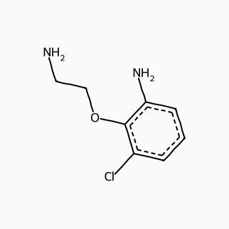 NCCOc1c(N)cccc1Cl